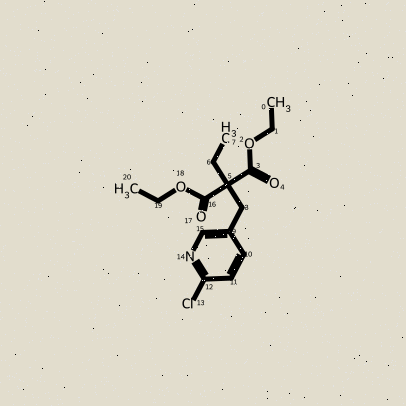 CCOC(=O)C(CC)(Cc1ccc(Cl)nc1)C(=O)OCC